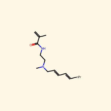 C=C(C)C(=O)NCCN(C)CC=CC=CCCC